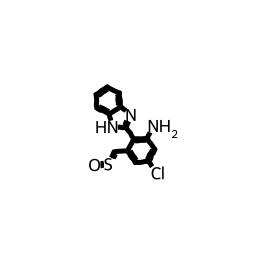 Nc1cc(Cl)cc(C=S=O)c1-c1nc2ccccc2[nH]1